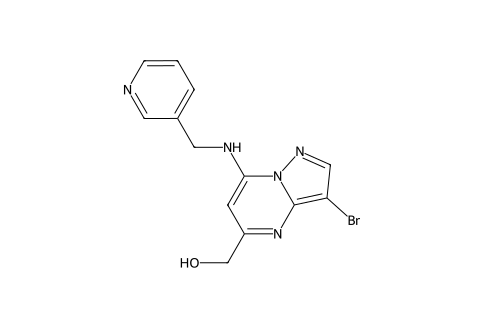 OCc1cc(NCc2cccnc2)n2ncc(Br)c2n1